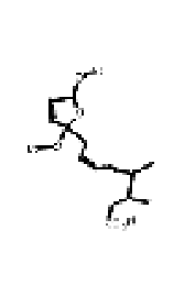 CCOC1C=CC(C/C=C\CC(C)C(C)CC(=O)O)(OCC)O1